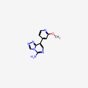 COc1cc(-c2cnc(N)n3cnnc23)ccn1